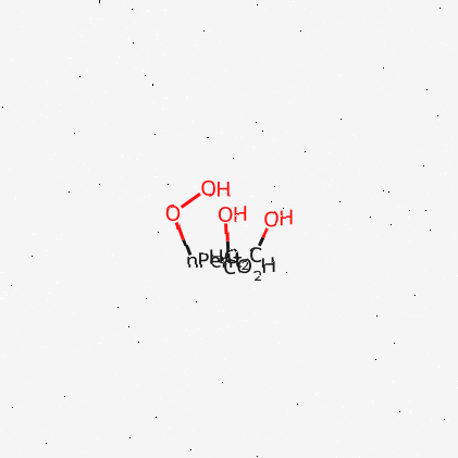 CCCCCOO.O=C(O)O.O=C(O)O